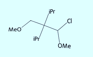 COCC(C(C)C)(C(C)C)C(Cl)OC